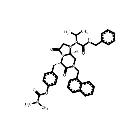 CC(C)N(C(=O)NCc1ccccc1)N1CC(=O)N2[C@@H](Cc3ccc(OC(=O)N(C)C)cc3)C(=O)N(Cc3cccc4ccccc34)C[C@@H]21